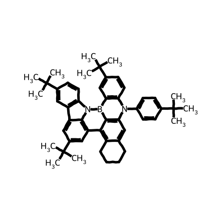 CC(C)(C)c1ccc(N2c3ccc(C(C)(C)C)cc3B3c4c2cc2c(c4-c4cc(C(C)(C)C)cc5c6cc(C(C)(C)C)ccc6n3c45)CCCC2)cc1